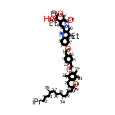 CCc1c2c(nc3ccc(OCc4ccc(COc5c(C)c(C)c6c(c5C)CC[C@@](C)(CCC[C@H](C)CCC[C@H](C)CCCC(C)C)O6)cc4)cc13)-c1cc3c(c(=O)n1C2)COC(=O)[C@]3(O)CC